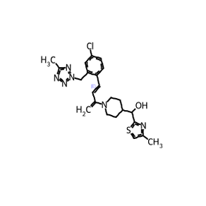 C=C(/C=C/c1ccc(Cl)cc1Cn1nnc(C)n1)N1CCC(C(O)c2nc(C)cs2)CC1